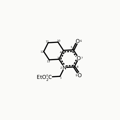 CCOC(=O)Cn1c2c(c(=O)oc1=O)CCCC2